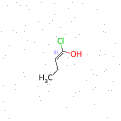 CC/C=C(\O)Cl